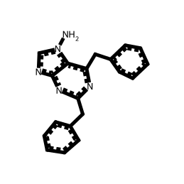 Nn1cnc2nc(Cc3ccccc3)nc(Cc3ccccc3)c21